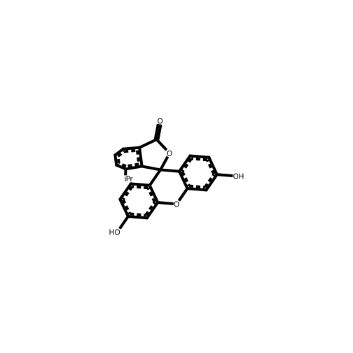 CC(C)c1cccc2c1C1(OC2=O)c2ccc(O)cc2Oc2cc(O)ccc21